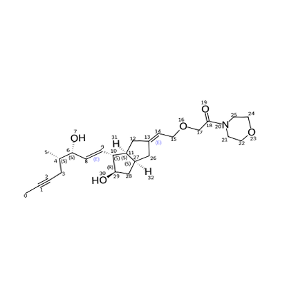 CC#CC[C@H](C)[C@H](O)/C=C/[C@@H]1[C@H]2C/C(=C/COCC(=O)N3CCOCC3)C[C@H]2C[C@H]1O